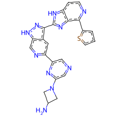 NC1CN(c2cncc(-c3cc4c(-c5nc6c(-c7cccs7)nccc6[nH]5)n[nH]c4cn3)n2)C1